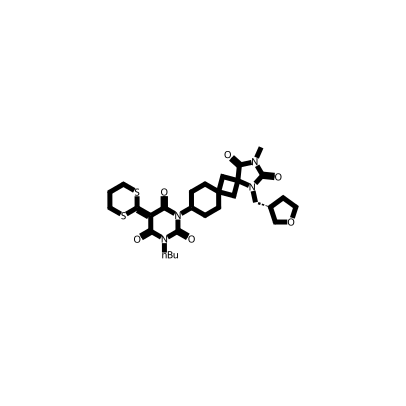 CCCCN1C(=O)C(=C2SCCCS2)C(=O)N(C2CCC3(CC2)CC2(C3)C(=O)N(C)C(=O)N2C[C@@H]2CCOC2)C1=O